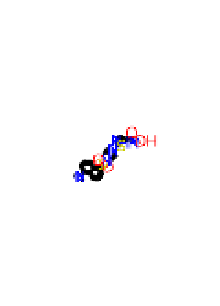 CN(C)c1cccc2c(S(=O)(=O)N3CCN(c4ncc(C(=O)NO)s4)CC3)cccc12